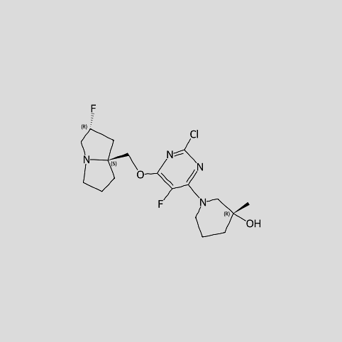 C[C@@]1(O)CCCN(c2nc(Cl)nc(OC[C@@]34CCCN3C[C@H](F)C4)c2F)C1